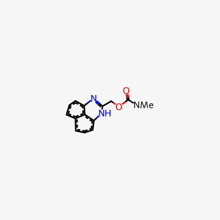 CNC(=O)OCC1=Nc2cccc3cccc(c23)N1